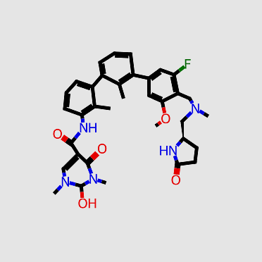 COc1cc(-c2cccc(-c3cccc(NC(=O)C4=CN(C)C(O)N(C)C4=O)c3C)c2C)cc(F)c1CN(C)C[C@H]1CCC(=O)N1